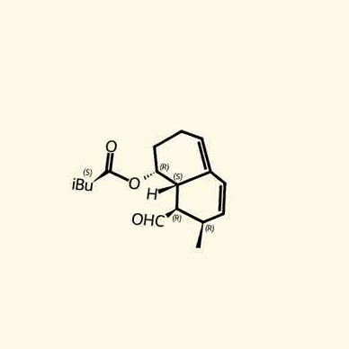 CC[C@H](C)C(=O)O[C@@H]1CCC=C2C=C[C@@H](C)[C@@H](C=O)[C@@H]21